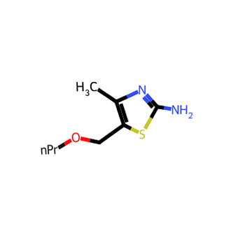 CCCOCc1sc(N)nc1C